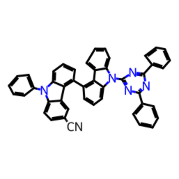 N#Cc1ccc2c(c1)c1c(-c3cccc4c3c3ccccc3n4-c3nc(-c4ccccc4)nc(-c4ccccc4)n3)cccc1n2-c1ccccc1